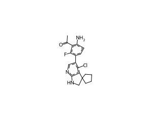 CC(=O)c1c(N)ccc(-c2cnc3c(c2Cl)C2(CCCC2)CN3)c1F